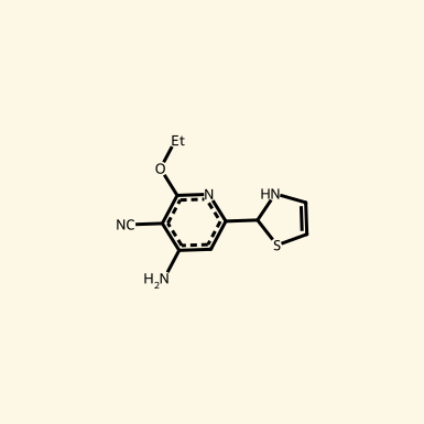 CCOc1nc(C2NC=CS2)cc(N)c1C#N